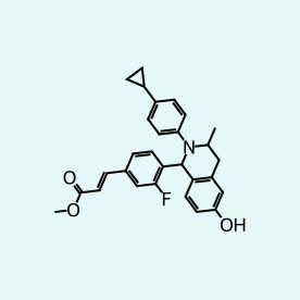 COC(=O)/C=C/c1ccc(C2c3ccc(O)cc3CC(C)N2c2ccc(C3CC3)cc2)c(F)c1